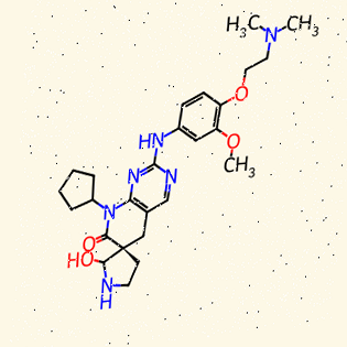 COc1cc(Nc2ncc3c(n2)N(C2CCCC2)C(=O)[C@]2(CCNC2O)C3)ccc1OCCN(C)C